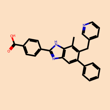 Cc1c(Cc2cccnc2)c(-c2ccccc2)cc2nc(-c3ccc(C(=O)O)cc3)[nH]c12